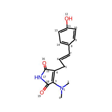 CN(C)C1=C(CC=Cc2ccc(O)cc2)C(=O)NC1=O